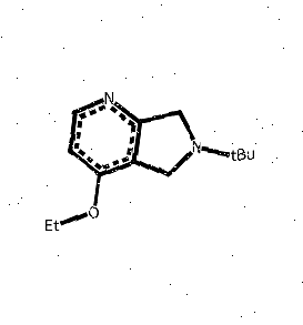 CCOc1ccnc2c1CN(C(C)(C)C)C2